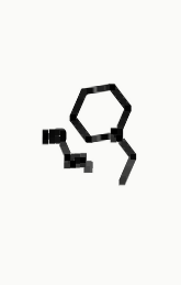 CCN1CCCCC1.NO